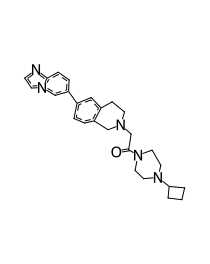 O=C(CN1CCc2cc(-c3ccc4nccn4c3)ccc2C1)N1CCN(C2CCC2)CC1